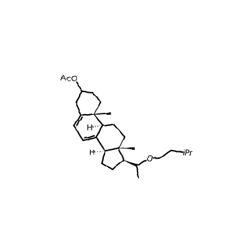 CC(=O)OC1CC[C@@]2(C)C(=CC=C3[C@@H]4CC[C@H](C(C)OCCC(C)C)[C@@]4(C)CC[C@@H]32)C1